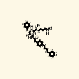 O=C(Cc1ccc(CCCCc2ccccc2)cc1)NOC(=O)[C@H](Cc1ccccc1)NC(=O)[C@H](CCCCNCl)NCl